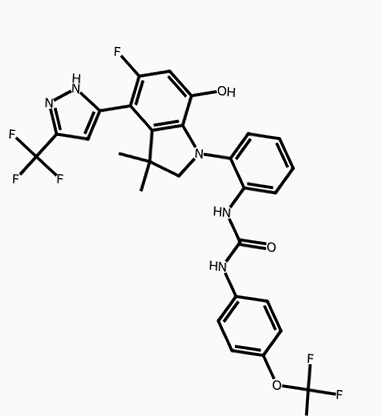 CC1(C)CN(c2ccccc2NC(=O)Nc2ccc(OC(F)(F)F)cc2)c2c(O)cc(F)c(-c3cc(C(F)(F)F)n[nH]3)c21